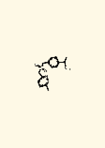 Cc1ccc(CS(=O)(=O)Cc2ccc(C(C)C(F)(F)F)cc2)nn1